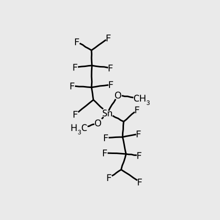 C[O][Sn]([O]C)([CH](F)C(F)(F)C(F)(F)C(F)F)[CH](F)C(F)(F)C(F)(F)C(F)F